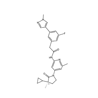 Cc1cc(N2CC[C@@](C)(C3CC3)C2=O)cc(NC(=O)Cc2cc(F)cc(-c3cnn(C)c3)c2)n1